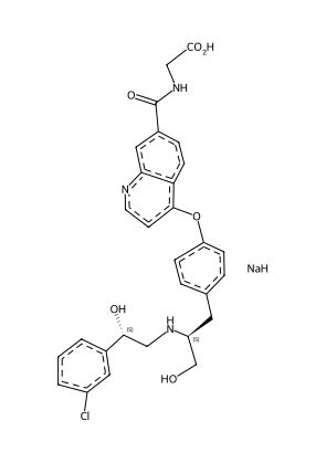 O=C(O)CNC(=O)c1ccc2c(Oc3ccc(C[C@@H](CO)NC[C@@H](O)c4cccc(Cl)c4)cc3)ccnc2c1.[NaH]